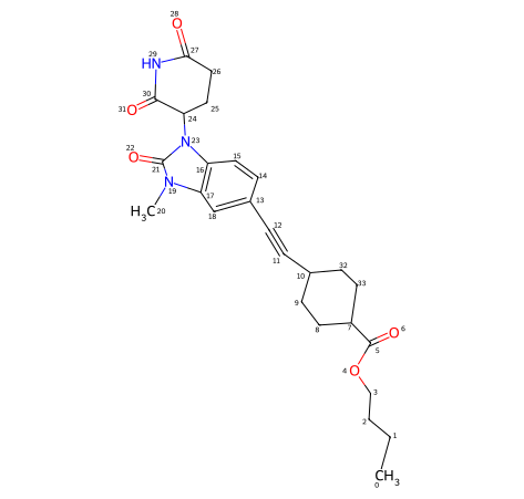 CCCCOC(=O)C1CCC(C#Cc2ccc3c(c2)n(C)c(=O)n3C2CCC(=O)NC2=O)CC1